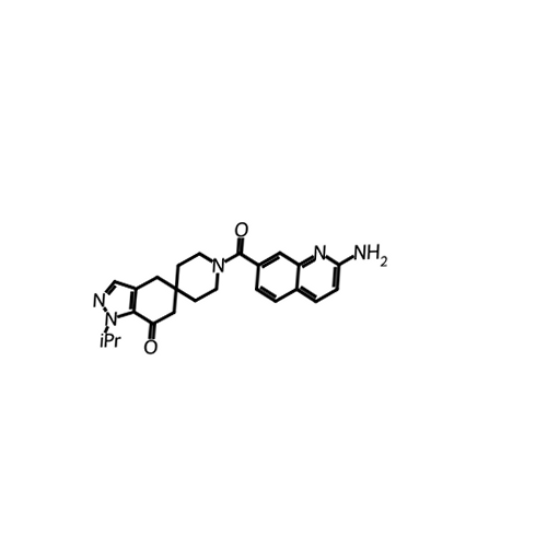 CC(C)n1ncc2c1C(=O)CC1(CCN(C(=O)c3ccc4ccc(N)nc4c3)CC1)C2